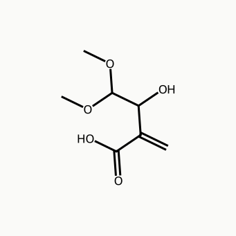 C=C(C(=O)O)C(O)C(OC)OC